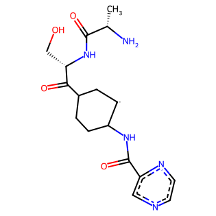 C[C@H](N)C(=O)N[C@@H](CO)C(=O)C1C[CH]C(NC(=O)c2cnccn2)CC1